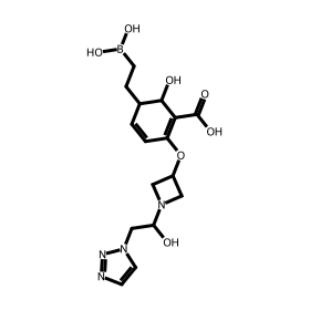 O=C(O)C1=C(OC2CN(C(O)Cn3ccnn3)C2)C=CC(CCB(O)O)C1O